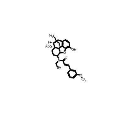 CC(=O)O[C@@]12CCC(N(CC(C)C)C(=O)/C=C/c3cccc(OC(F)(F)F)c3)C3Oc4c(O)ccc5c4[C@@]31CCN(C)[C@@H]2C5